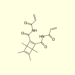 C=CC(=O)NC(=O)C1=C(C(=O)NC(=O)C=C)C2(C)C(C)=C(C)C12C